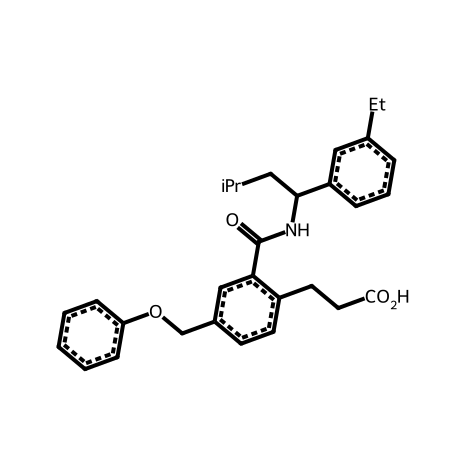 CCc1cccc(C(CC(C)C)NC(=O)c2cc(COc3ccccc3)ccc2CCC(=O)O)c1